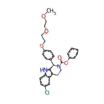 COCCOCCOc1ccc(C2c3[nH]c4ccc(Cl)cc4c3CCN2C(=O)Oc2ccccc2)cc1